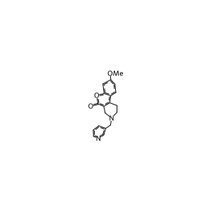 COc1ccc2c3c(c(=O)oc2c1)CN(Cc1cccnc1)CC3